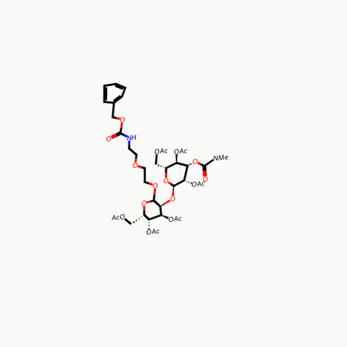 CNC(=O)O[C@@H]1[C@H](OC(C)=O)[C@@H](O[C@@H]2C(OCCOCCNC(=O)OCc3ccccc3)O[C@@H](COC(C)=O)[C@@H](OC(C)=O)[C@@H]2OC(C)=O)O[C@H](COC(C)=O)[C@H]1OC(C)=O